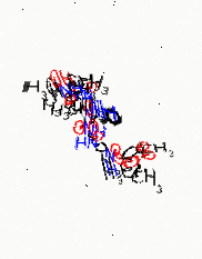 COC1C(OC(=O)N[C@H]2CC[C@H](NC(=O)CNC(=O)[C@H](CC(C)C)NC(=O)[C@H](Cc3ccccc3)NC(=O)CNC(=O)C(C)(CC(C)(CC(C)C)C(=O)NCC(C)O)C(C)C)CC2)CC[C@]2(CO2)C1[C@]1(C)O[C@@H]1CC=C(C)C